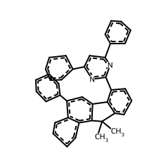 CC1(C)c2cccc(-c3nc(-c4ccccc4)cc(-c4ccccc4)n3)c2-c2cc(-c3ccccc3)c3ccccc3c21